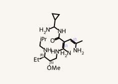 CC[C@@H](NCC(C)C)[C@H](CN/C(N)=C(/C=C(/C)N)C(=O)NC(N)C1CC1)OC